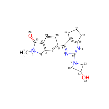 CN1Cc2cc(-c3nc(N4CC(O)C4)nc4c3CCC4)ccc2C1=O